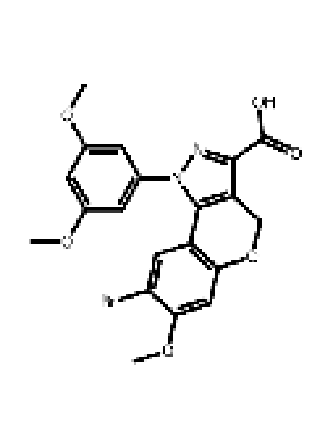 COc1cc(OC)cc(-n2nc(C(=O)O)c3c2-c2cc(Br)c(OC)cc2OC3)c1